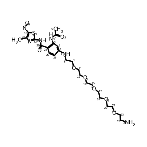 CC(=O)Nc1cc(NCCOCCOCCOCCOCCOCCN)ccc1C(=O)Nc1nc(C)c(N=O)s1